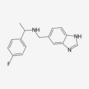 CC(NCc1ccc2[nH]cnc2c1)c1ccc(F)cc1